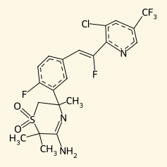 CC1(c2cc(C=C(F)c3ncc(C(F)(F)F)cc3Cl)ccc2F)CS(=O)(=O)C(C)(C)C(N)=N1